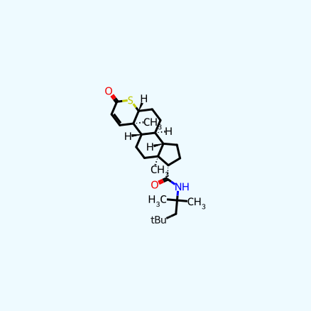 CC(C)(C)CC(C)(C)NC(=O)[C@H]1CC[C@H]2[C@@H]3CC[C@H]4SC(=O)C=C[C@]4(C)[C@H]3CC[C@]12C